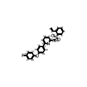 C=Cc1ccccc1S(=O)(=O)Nc1cccc(-c2ccc(Oc3ccc(F)cc3)cc2)n1